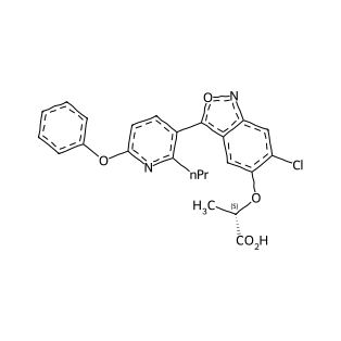 CCCc1nc(Oc2ccccc2)ccc1-c1onc2cc(Cl)c(O[C@@H](C)C(=O)O)cc12